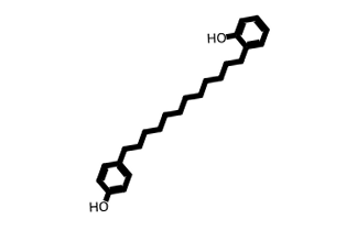 Oc1ccc(CCCCCCCCCCCCc2ccccc2O)cc1